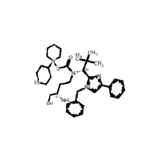 CC(C)(C)[C@H](c1nc(-c2ccccc2)cn1Cc1ccccc1)N(CC[C@H](N)CO)C(=O)O[N+]1(C2CCNCC2)CCCCC1